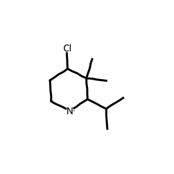 CC(C)C1[N]CCC(Cl)C1(C)C